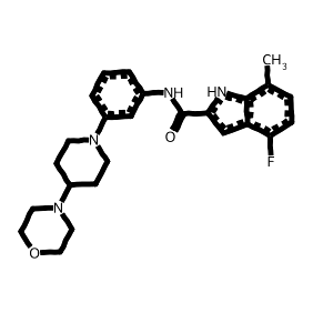 Cc1ccc(F)c2cc(C(=O)Nc3cccc(N4CCC(N5CCOCC5)CC4)c3)[nH]c12